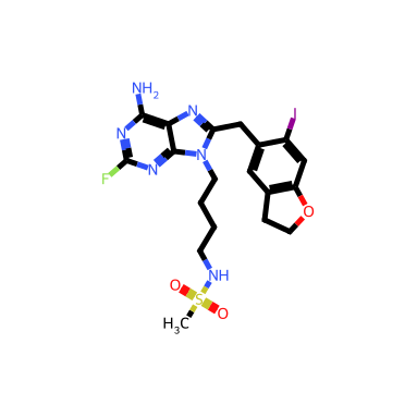 CS(=O)(=O)NCCCCn1c(Cc2cc3c(cc2I)OCC3)nc2c(N)nc(F)nc21